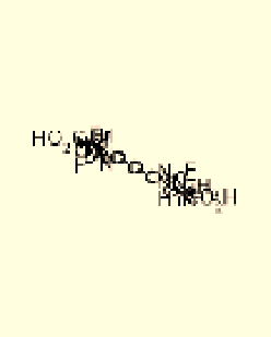 CC(C)[C@@H](C(=O)N1C[C@H](F)C[C@H]1c1nc2cc(-c3ccc(-c4ccc5[nH]c([C@@H]6C[C@@H](F)CN6C(=O)[C@H](C(C)C)N(C)C(=O)O)nc5c4)cc3)ccc2[nH]1)N(C)C(=O)O